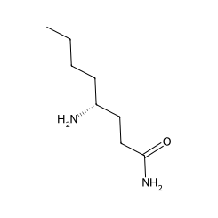 CCCC[C@@H](N)CCC(N)=O